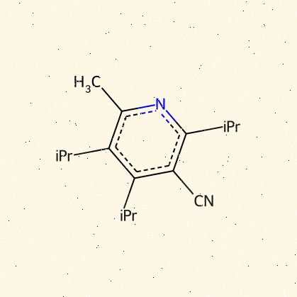 Cc1nc(C(C)C)c(C#N)c(C(C)C)c1C(C)C